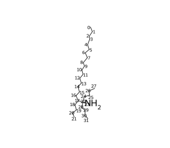 CCCCCCCCCCCCCCCCCC(CCCC)C(N)(CCCC)CCCC